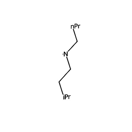 CCCC[N]CCC(C)C